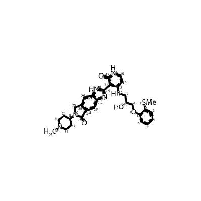 CSc1ccccc1OC[C@H](O)CNc1cc[nH]c(=O)c1-c1nc2cc3c(cc2[nH]1)CN(C1CCN(C)CC1)C3=O